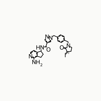 Nc1nccc2c1CCC2NC(=O)c1cnn(Cc2ccc(CN3CC[C@@H](I)C3=O)cc2)c1